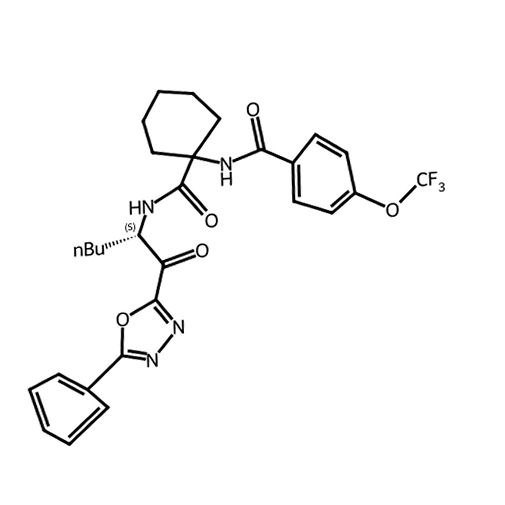 CCCC[C@H](NC(=O)C1(NC(=O)c2ccc(OC(F)(F)F)cc2)CCCCC1)C(=O)c1nnc(-c2ccccc2)o1